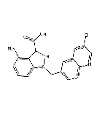 Nc1cccc2c1C(C(=O)O)NN2Cc1ccc2ncc(Cl)cc2c1